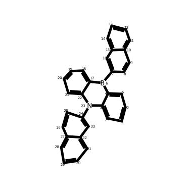 c1ccc2c(c1)B(c1ccc3ccccc3c1)c1ccccc1N2c1ccc2ccccc2c1